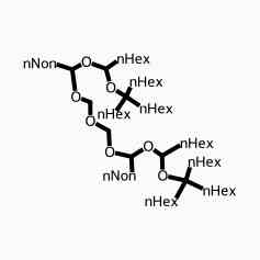 CCCCCCCCCC(OCOCOC(CCCCCCCCC)OC(CCCCCC)OC(CCCCCC)(CCCCCC)CCCCCC)OC(CCCCCC)OC(CCCCCC)(CCCCCC)CCCCCC